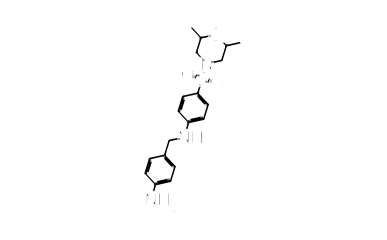 CC1CN(S(=O)(=O)c2ccc(NCc3ccc(N)cc3)cc2)CC(C)O1